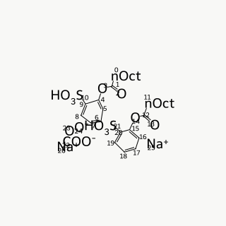 CCCCCCCCC(=O)Oc1ccccc1S(=O)(=O)O.CCCCCCCCC(=O)Oc1ccccc1S(=O)(=O)O.O=C([O-])O[O-].[Na+].[Na+]